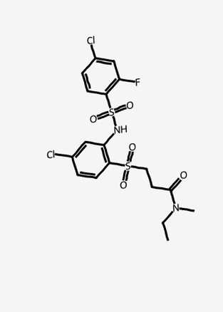 CCN(C)C(=O)CCS(=O)(=O)c1ccc(Cl)cc1NS(=O)(=O)c1ccc(Cl)cc1F